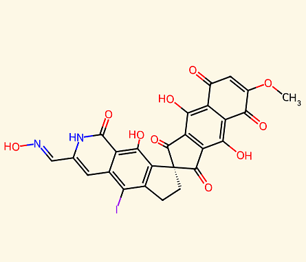 COC1=CC(=O)c2c(O)c3c(c(O)c2C1=O)C(=O)[C@]1(CCc2c1c(O)c1c(=O)[nH]c(/C=N/O)cc1c2I)C3=O